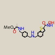 COC(=O)[C@H](C)NCc1ccc(CNCc2ccc3cc(C(=O)NO)sc3c2)cc1